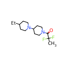 CCC1CCN(C2CCN(C(=O)C(C)(F)F)CC2)CC1